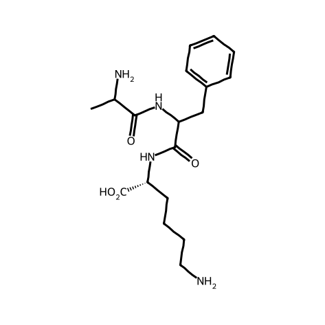 CC(N)C(=O)NC(Cc1ccccc1)C(=O)N[C@H](CCCCN)C(=O)O